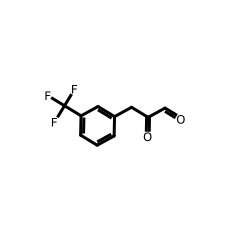 O=CC(=O)Cc1cccc(C(F)(F)F)c1